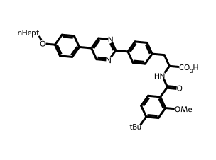 CCCCCCCOc1ccc(-c2cnc(-c3ccc(CC(NC(=O)c4ccc(C(C)(C)C)cc4OC)C(=O)O)cc3)nc2)cc1